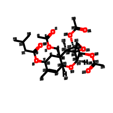 CC(=O)OC[C@]12C[C@H](OC(=O)CC(C)C)C(C)=C[C@H]1O[C@@H]1[C@H](OC(C)=O)C[C@@H](OC(C)=O)[C@@]2(C)[C@@]12CO2